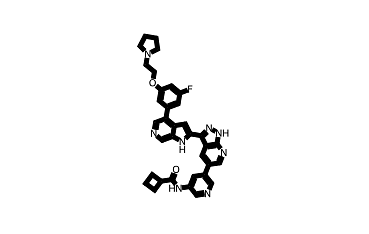 O=C(Nc1cncc(-c2cnc3[nH]nc(-c4cc5c(-c6cc(F)cc(OCCN7CCCC7)c6)cncc5[nH]4)c3c2)c1)C1CCC1